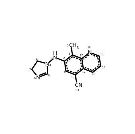 Cc1c(NN2C=NCC2)cc(C#N)c2cccnc12